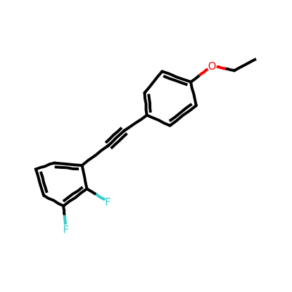 CCOc1ccc(C#Cc2cccc(F)c2F)cc1